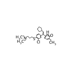 CCc1ccc(/C(=C/C2CCCC2)c2ccc(SCCCN(CC)CC)c(Cl)c2)[nH]c1=O